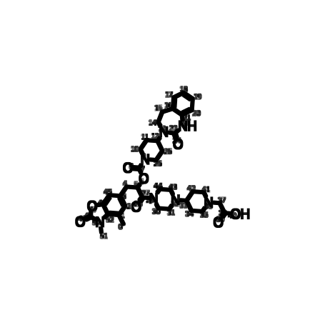 Cc1cc(CC(OC(=O)N2CCC(N3CCc4ccccc4NC3=O)CC2)C(=O)N2CCN(C3CCN(CC(=O)O)CC3)CC2)cc2oc(=O)n(C)c12